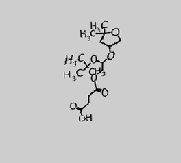 CC(C)(C)OC(COC(=O)CCC(=O)O)OC1COC(C)(C)C1